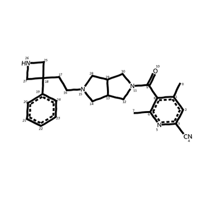 Cc1cc(C#N)nc(C)c1C(=O)N1CC2CN(CCC3(c4ccccc4)CNC3)CC2C1